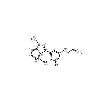 C=CCOc1cc(O)cc(-c2nn(C)c3ncnc(N)c23)c1